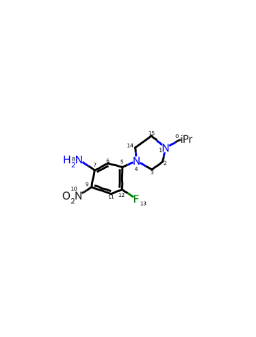 CC(C)N1CCN(c2cc(N)c([N+](=O)[O-])cc2F)CC1